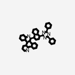 c1ccc(-c2nc(-c3ccccc3)nc(-c3ccc(-c4nc5ccccc5c5c6cccnc6c6ccccc6c45)c4ccccc34)n2)cc1